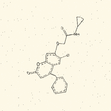 O=C(COc1cc2oc(=O)cc(-c3ccccc3)c2cc1Cl)NC1CC1